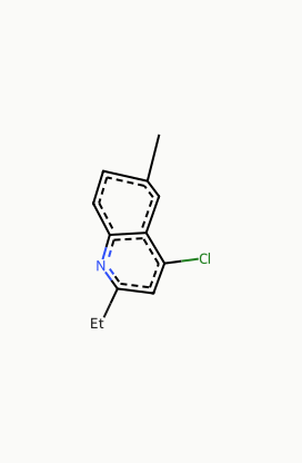 CCc1cc(Cl)c2cc(C)ccc2n1